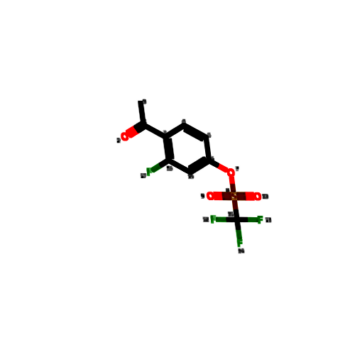 CC(=O)c1ccc(OS(=O)(=O)C(F)(F)F)cc1F